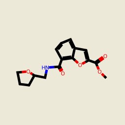 COC(=O)c1cc2cccc(C(=O)NCC3CCCO3)c2o1